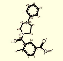 COC(=O)c1ccc(C)c(C(=O)N2CCN(c3ccccc3)CC2)c1